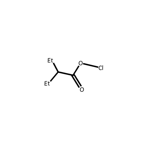 CCC(CC)C(=O)OCl